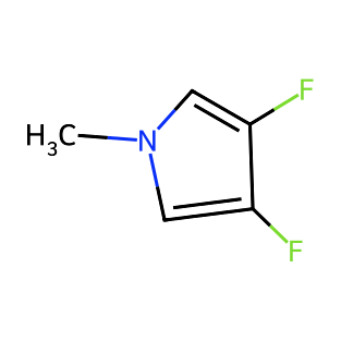 Cn1cc(F)c(F)c1